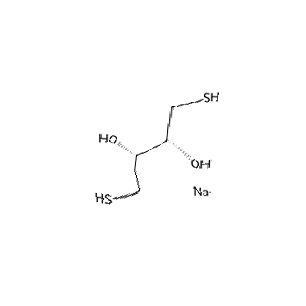 O[C@@H](CS)[C@@H](O)CS.[Na]